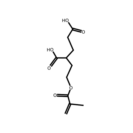 C=C(C)C(=O)OCCC(CCC(=O)O)C(=O)O